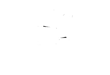 O=C[C@H](O)[C@H](O)[C@@H](O)[C@@H](O)C[18F]